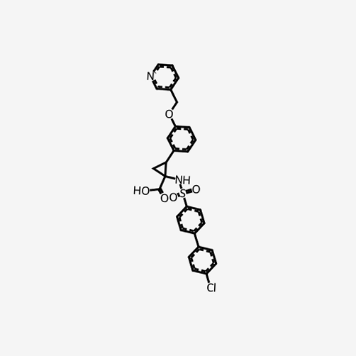 O=C(O)C1(NS(=O)(=O)c2ccc(-c3ccc(Cl)cc3)cc2)CC1c1cccc(OCc2cccnc2)c1